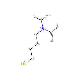 CC(C)N(CCCCS)C(C)C